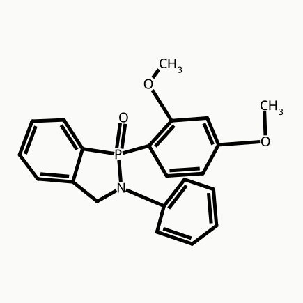 COc1ccc(P2(=O)c3ccccc3CN2c2ccccc2)c(OC)c1